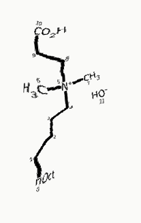 CCCCCCCCCCCC[N+](C)(C)CCC(=O)O.[OH-]